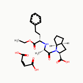 CCOC(=O)[C@H](CCc1ccccc1)N[C@@H](C)C(=O)N1[C@H](C(=O)O)C[C@@H]2CCC[C@@H]21.O=C(O)/C=C\C(=O)O